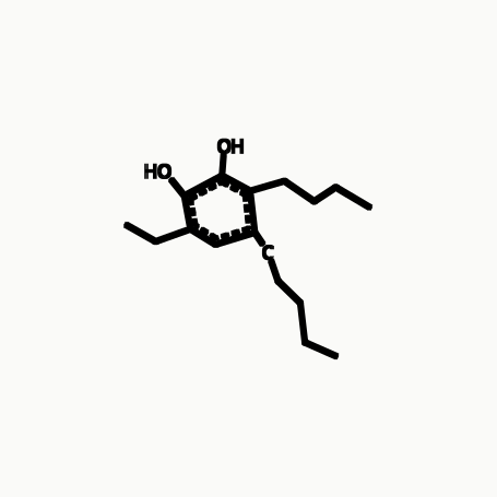 CCCCCc1cc(CC)c(O)c(O)c1CCCC